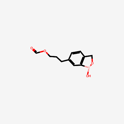 O=COCCCc1ccc2c(c1)B(O)OC2